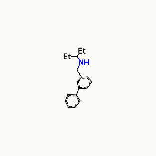 CCC(CC)NCc1cccc(-c2ccccc2)c1